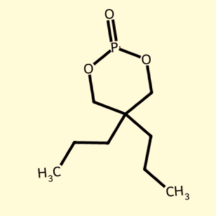 CCCC1(CCC)CO[P](=O)OC1